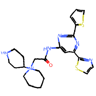 O=C(C[N+]1(C2CCNCC2)CCCCC1)Nc1cc(-c2nccs2)nc(-c2cccs2)n1